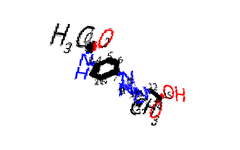 CC(=O)Nc1ccc(/N=N/N(C)CC(=O)O)cc1